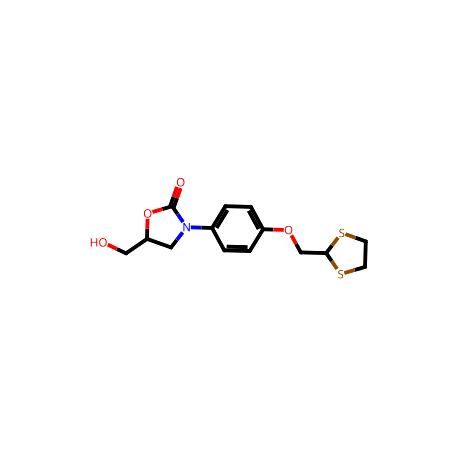 O=C1OC(CO)CN1c1ccc(OCC2SCCS2)cc1